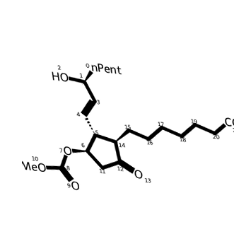 CCCCC[C@H](O)/C=C/[C@H]1[C@H](OC(=O)OC)CC(=O)[C@@H]1CCCCCCC(=O)O